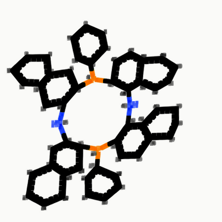 c1ccc(P2c3cc4ccccc4cc3Nc3cc4ccccc4cc3P(c3ccccc3)c3ccc4ccccc4c3Nc3c2ccc2ccccc32)cc1